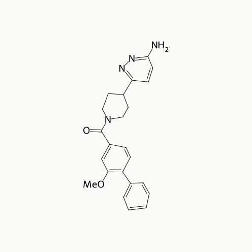 COc1cc(C(=O)N2CCC(c3ccc(N)nn3)CC2)ccc1-c1ccccc1